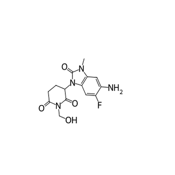 Cn1c(=O)n(C2CCC(=O)N(CO)C2=O)c2cc(F)c(N)cc21